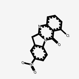 O=c1c2c(Cl)cccc2nc2n1-c1ccc([N+](=O)[O-])cc1C2